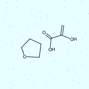 C1CCOC1.C=C(O)C(=O)O